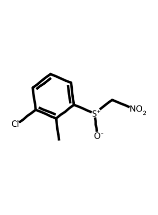 Cc1c(Cl)cccc1[S+]([O-])C[N+](=O)[O-]